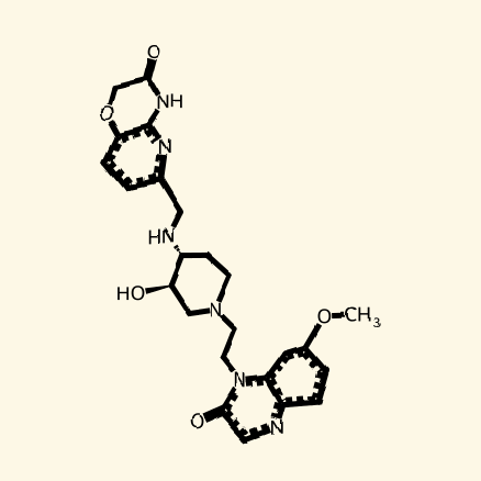 COc1ccc2ncc(=O)n(CCN3CC[C@@H](NCc4ccc5c(n4)NC(=O)CO5)[C@H](O)C3)c2c1